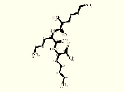 NCCCCC(N)C(=O)NC(CCCN)C(=O)NC(CCCCN)C(=O)O